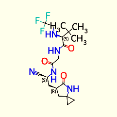 CC(C)(C)[C@H](NCC(F)(F)F)C(=O)NCC(=O)N[C@H](C#N)C[C@@H]1CC2(CC2)NC1=O